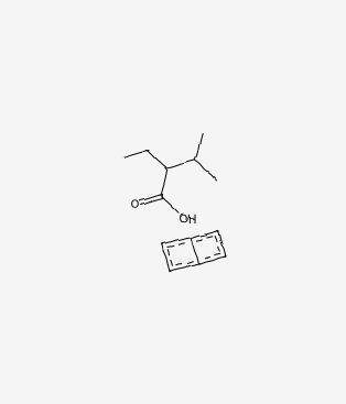 CCC(C(=O)O)C(C)C.c1cc2ccc1-2